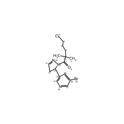 CC(C)(CCCCl)C(=O)N1N=CCC1c1cncc(Br)c1